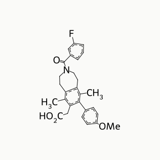 COc1ccc(-c2c(C)c3c(c(C)c2CC(=O)O)CCN(C(=O)c2cccc(F)c2)CC3)cc1